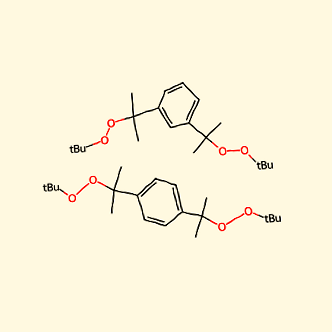 CC(C)(C)OOC(C)(C)c1ccc(C(C)(C)OOC(C)(C)C)cc1.CC(C)(C)OOC(C)(C)c1cccc(C(C)(C)OOC(C)(C)C)c1